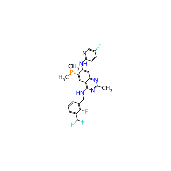 Cc1nc(NCc2cccc(C(F)F)c2F)c2cc(P(C)C)c(Nc3ccc(F)cn3)cc2n1